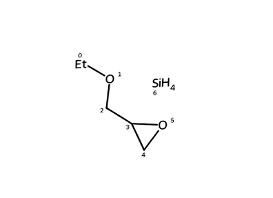 [CH2]COCC1CO1.[SiH4]